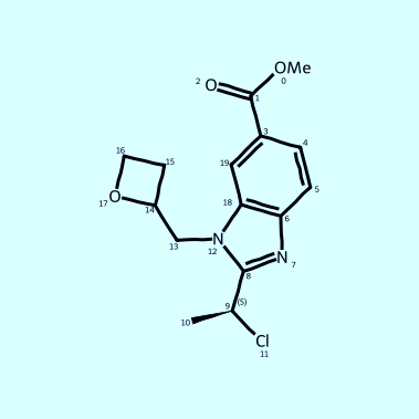 COC(=O)c1ccc2nc([C@H](C)Cl)n(CC3CCO3)c2c1